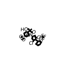 CC(CO)(C(=O)Nc1cc(Cl)c(-c2ccccc2OC(F)(F)F)c(Cl)c1)c1ccc(S(C)(=O)=O)cc1